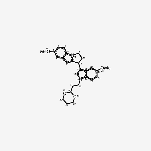 COc1ccc2c(c1)cc1n2CCC1c1cn(CCC2OCCCO2)c2ccc(OC)cc12